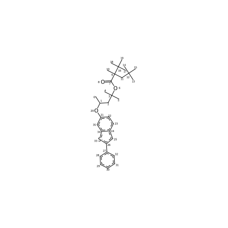 CC(CC(C)(C)OC(=O)C(C)(CC(C)(C)C)C(C)(C)C)Oc1ccc2cc(-c3ccccc3)sc2c1